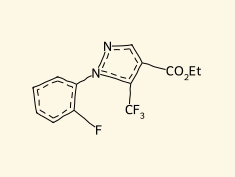 CCOC(=O)c1cnn(-c2ccccc2F)c1C(F)(F)F